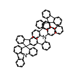 c1ccc(-c2cccc(-c3ccccc3N(c3ccccc3-c3ccc4c(c3)C3(c5ccccc5-4)c4ccccc4-n4c5ccccc5c5cccc3c54)c3cccc4c3-c3ccccc3C43c4ccccc4-c4ccccc43)c2)cc1